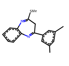 CSC1=Nc2ccccc2N=C(c2cc(C)cc(C)c2)C1